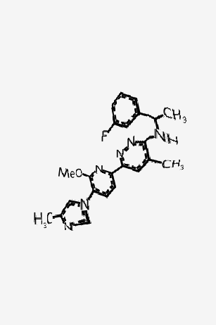 COc1nc(-c2cc(C)c(NC(C)c3cccc(F)c3)nn2)ccc1-n1cnc(C)c1